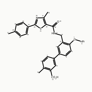 CCCOc1ccc(-c2ccc(C)c(C(=O)O)c2)cc1CNC(=O)c1sc(-c2ccc(C)cc2)nc1C